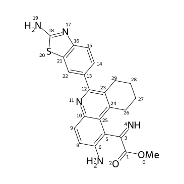 COC(=O)C(=N)c1c(N)ccc2nc(-c3ccc4nc(N)sc4c3)c3c(c12)CCCC3